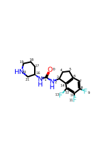 O=C(NC1CCc2cc(F)c(F)c(F)c21)N[C@@H]1CCCNC1